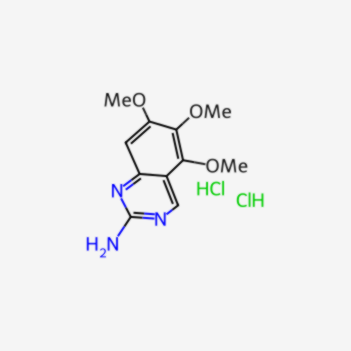 COc1cc2nc(N)ncc2c(OC)c1OC.Cl.Cl